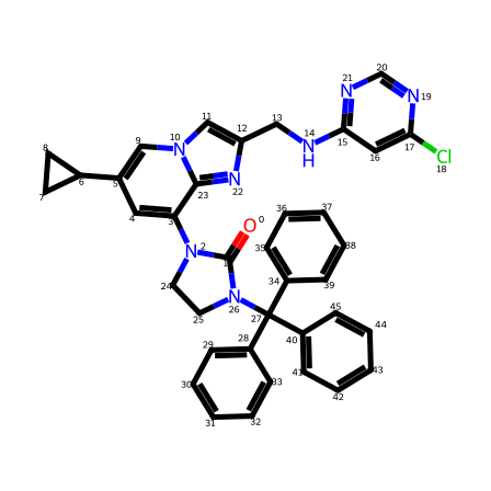 O=C1N(c2cc(C3CC3)cn3cc(CNc4cc(Cl)ncn4)nc23)CCN1C(c1ccccc1)(c1ccccc1)c1ccccc1